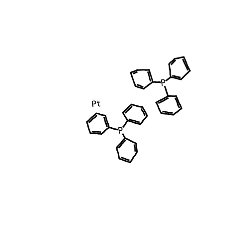 [Pt].c1ccc(P(c2ccccc2)c2ccccc2)cc1.c1ccc(P(c2ccccc2)c2ccccc2)cc1